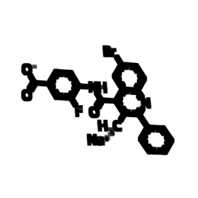 Cc1c(-c2ccccc2)nc2ccc(Br)cc2c1C(=O)Nc1ccc(C(=O)[O-])cc1F.[Na+]